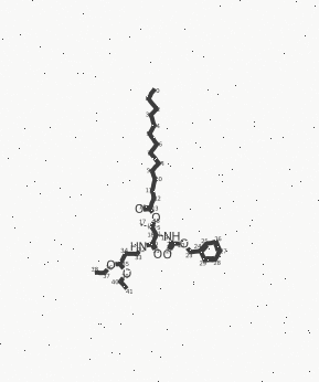 CCCCCCCCCCCCCC(=O)O[C@@H](C)[C@H](NC(=O)OCc1ccccc1)C(=O)NCCC(OCC)OCC